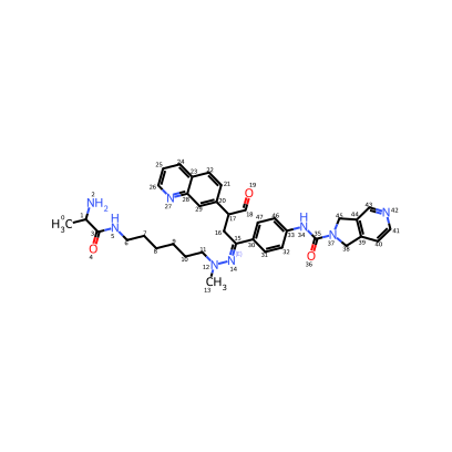 CC(N)C(=O)NCCCCCCN(C)/N=C(\CC(C=O)c1ccc2cccnc2c1)c1ccc(NC(=O)N2Cc3ccncc3C2)cc1